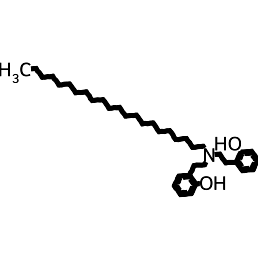 CCCCCCCCCCCCCCCCCCCCCCN(CCc1ccccc1O)CCc1ccccc1O